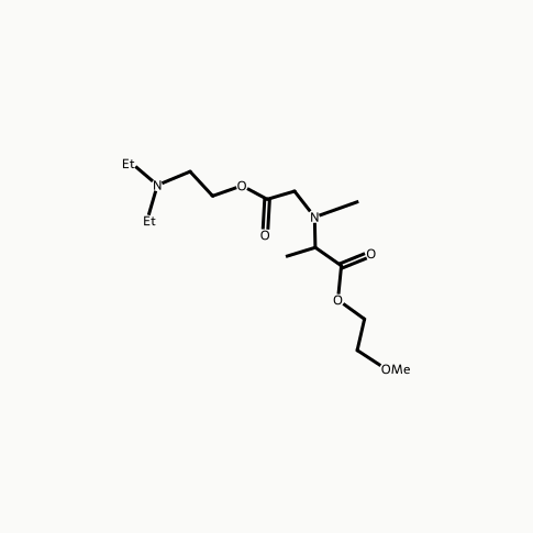 CCN(CC)CCOC(=O)CN(C)C(C)C(=O)OCCOC